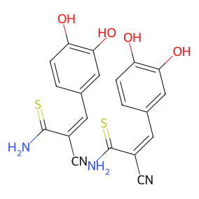 N#CC(=Cc1ccc(O)c(O)c1)C(N)=S.N#CC(=Cc1ccc(O)c(O)c1)C(N)=S